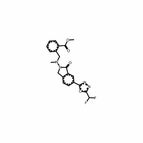 COC(=O)c1ccccc1CN(C)N1Cc2ccc(-c3nnc(C(F)F)o3)cc2C1=O